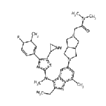 CCc1nc2c(C)cc(N3CC4CN(CC(=O)N(C)C)CC4C3)cn2c1N(C)c1nc(C2=CC(C)C(F)C=C2)c(C2CN2)s1